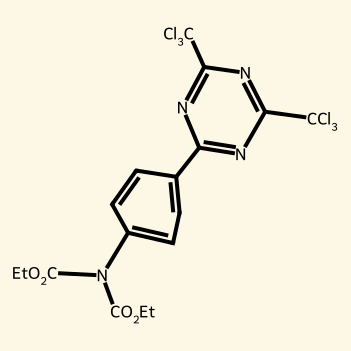 CCOC(=O)N(C(=O)OCC)c1ccc(-c2nc(C(Cl)(Cl)Cl)nc(C(Cl)(Cl)Cl)n2)cc1